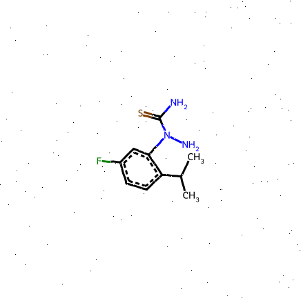 CC(C)c1ccc(F)cc1N(N)C(N)=S